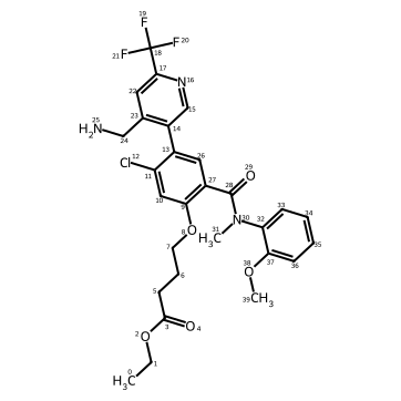 CCOC(=O)CCCOc1cc(Cl)c(-c2cnc(C(F)(F)F)cc2CN)cc1C(=O)N(C)c1ccccc1OC